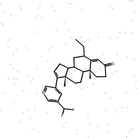 CCC1CC2C(CC[C@]3(C)C(c4cncc(C(F)F)c4)=CCC23)[C@@]2(C)CCC(=O)C=C12